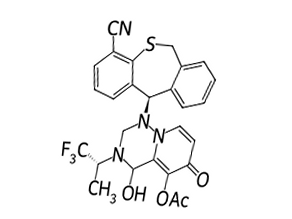 CC(=O)Oc1c2n(ccc1=O)N([C@@H]1c3ccccc3CSc3c(C#N)cccc31)CN([C@H](C)C(F)(F)F)C2O